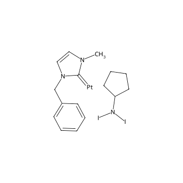 Cn1ccn(Cc2ccccc2)[c]1=[Pt].IN(I)C1CCCC1